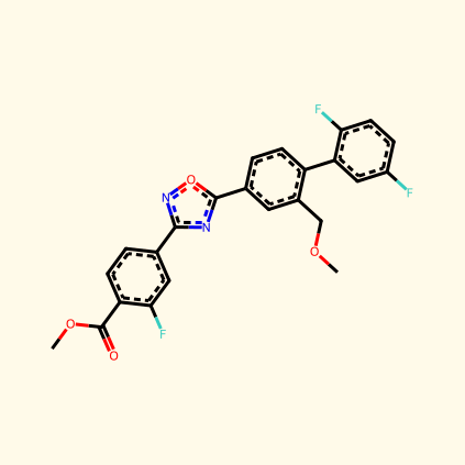 COCc1cc(-c2nc(-c3ccc(C(=O)OC)c(F)c3)no2)ccc1-c1cc(F)ccc1F